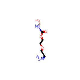 NCCOCCOC(=O)NSO